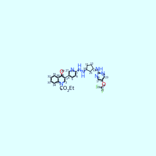 CCOC(=O)n1cc(-c2ccc(NN[C@H]3CC[C@H](Nc4ncc(OC(F)F)cn4)C3)nc2)c(=O)c2ccccc21